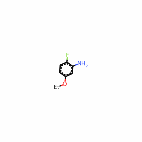 CCOc1ccc(F)c(N)c1